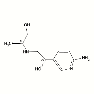 C[C@@H](CO)NC[C@@H](O)c1ccc(N)nc1